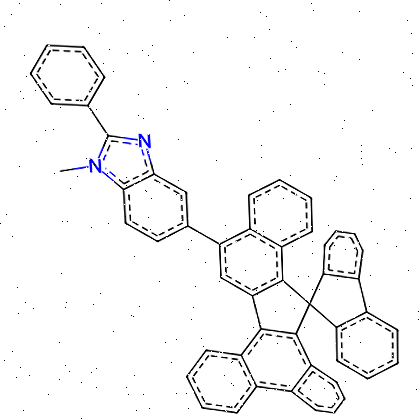 Cn1c(-c2ccccc2)nc2cc(-c3cc4c(c5ccccc35)C3(c5ccccc5-c5ccccc53)c3c-4c4ccccc4c4ccccc34)ccc21